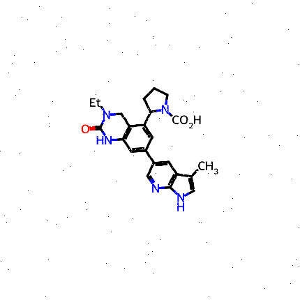 CCN1Cc2c(cc(-c3cnc4[nH]cc(C)c4c3)cc2C2CCCN2C(=O)O)NC1=O